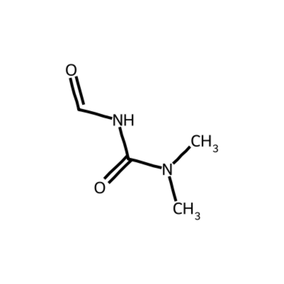 CN(C)C(=O)NC=O